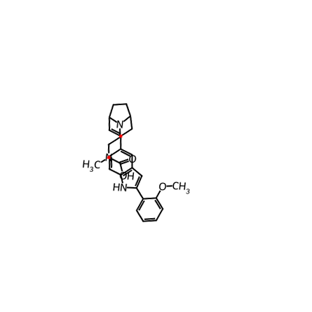 COc1ccccc1-c1cc2cc(C3=CC4CCC(C3)N4CCN(C)C(=O)O)ccc2[nH]1